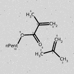 C=C(C)C.C=C(C)C(=O)OCCCCC